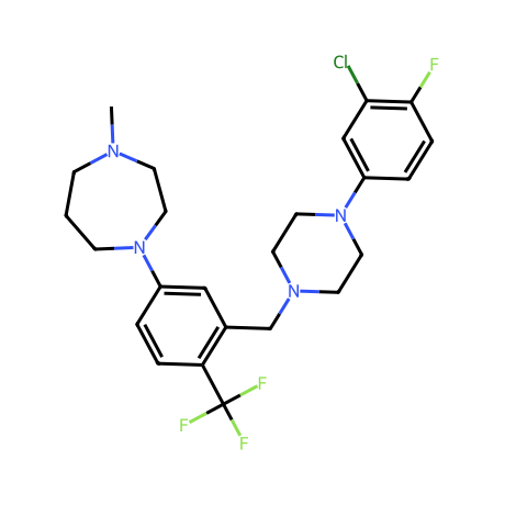 CN1CCCN(c2ccc(C(F)(F)F)c(CN3CCN(c4ccc(F)c(Cl)c4)CC3)c2)CC1